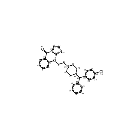 O=C(c1ccccc1OCCN1CCN(C(c2ccccc2)c2ccc(Cl)cc2)CC1)n1ccnc1